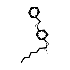 CCCCCC[C@@H](C)Oc1ccc(OCc2ccccc2)cc1